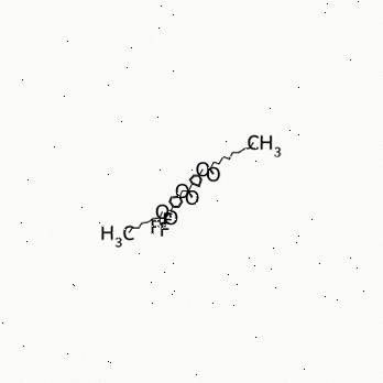 CCCCCCCCCC(=O)Oc1ccc(C(=O)Oc2ccc(C(=O)OC(CCCCCC)C(F)(F)F)cc2)cc1